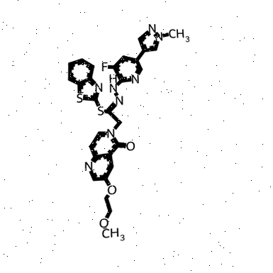 COCCOc1cnc2ccn(C/C(=N/Nc3ncc(-c4cnn(C)c4)cc3F)Sc3nc4ccccc4s3)c(=O)c2c1